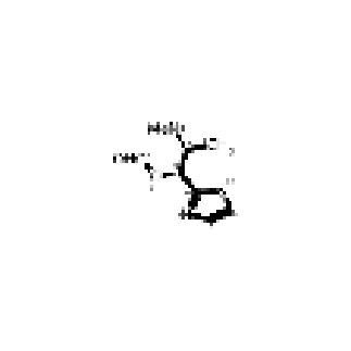 CN[C@@H](C)[C@H](OC=O)c1nccs1